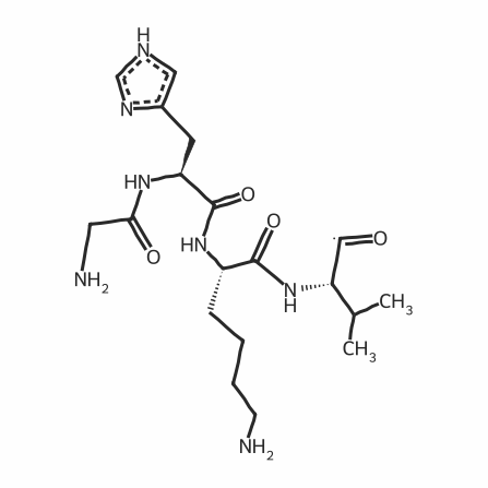 CC(C)[C@@H]([C]=O)NC(=O)[C@H](CCCCN)NC(=O)[C@H](Cc1c[nH]cn1)NC(=O)CN